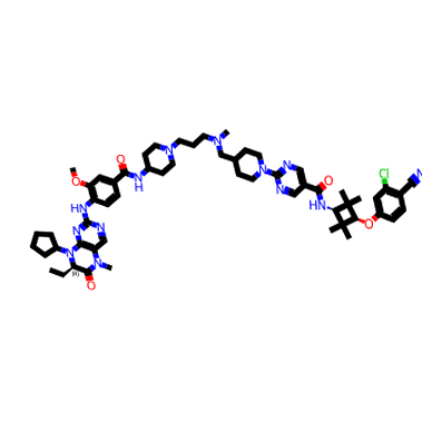 CC[C@@H]1C(=O)N(C)c2cnc(Nc3ccc(C(=O)NC4CCN(CCCN(C)CC5CCN(c6ncc(C(=O)N[C@H]7C(C)(C)[C@H](Oc8ccc(C#N)c(Cl)c8)C7(C)C)cn6)CC5)CC4)cc3OC)nc2N1C1CCCC1